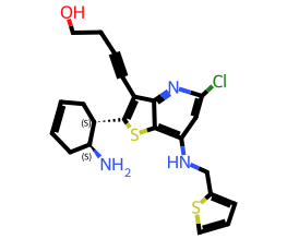 N[C@H]1CC=CC[C@@H]1c1sc2c(NCc3cccs3)cc(Cl)nc2c1C#CCCO